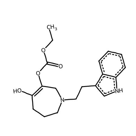 CCOC(=O)OC1=C(O)CCCN(CCc2c[nH]c3ccccc23)C1